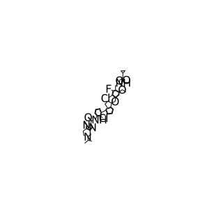 COc1cc(OC2CCc3c(-c4cccc(NC(=O)c5nc6c(n5C)CCN(C(C)C)C6)c4Cl)cccc32)c(Cl)c(F)c1CNOC(=O)C1CC1